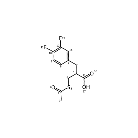 CC(=O)SCC(Cc1ccc(F)c(F)c1)C(=O)O